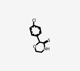 S=C1NCCOC1c1ccc(Cl)cc1